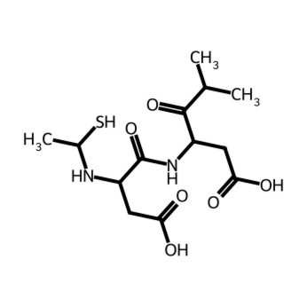 CC(S)NC(CC(=O)O)C(=O)NC(CC(=O)O)C(=O)C(C)C